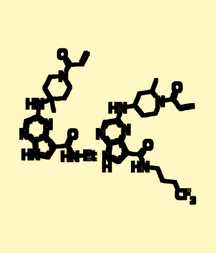 C=CC(=O)N1CCC(C)(Nc2cnc3[nH]cc(C(=O)NCC)c3n2)CC1.C=CC(=O)N1CCC(Nc2cnc3[nH]cc(C(=O)NCCCC(F)(F)F)c3n2)CC1C